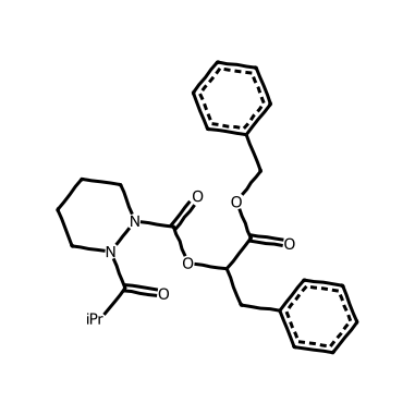 CC(C)C(=O)N1CCCCN1C(=O)OC(Cc1ccccc1)C(=O)OCc1ccccc1